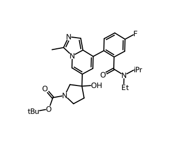 CCN(C(=O)c1cc(F)ccc1-c1cc(C2(O)CCN(C(=O)OC(C)(C)C)C2)cn2c(C)ncc12)C(C)C